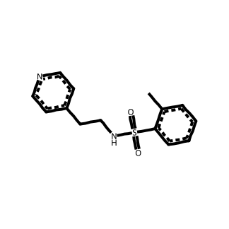 Cc1ccccc1S(=O)(=O)NCCc1ccncc1